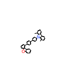 Cc1cccc2c3cccc(C)c3n(-c3ccc(-c4ccc(-c5cccc6oc7ccccc7c56)cc4)cc3)c12